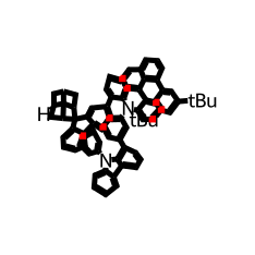 CC(C)(C)c1cc(-c2cccc3cccc(-c4ccccc4N(c4cccc(-c5cccc6c7ccccc7n(-c7ccccc7)c56)c4)c4ccccc4-c4ccc5c(c4)C4(c6ccccc6-5)C5CC6C[C@H]7CC4C657)c23)cc(C(C)(C)C)c1